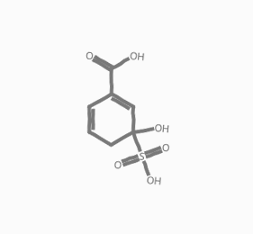 O=C(O)C1=CC(O)(S(=O)(=O)O)CC=C1